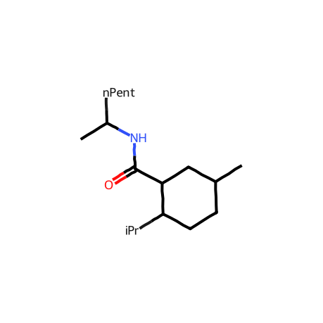 CCCCCC(C)NC(=O)C1CC(C)CCC1C(C)C